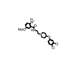 COc1ccc(N)c(C(=O)NCCN2CCC(Oc3ccc(Cl)c(Cl)c3)CC2)c1